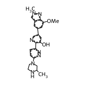 COc1cc(-c2cnc(-c3ccc(N4CCNC(C)C4)nn3)c(O)c2)cc2cn(C)nc12